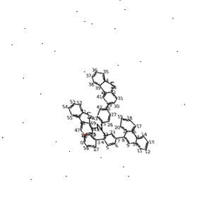 c1ccc(-c2ccc(-c3cc4ccccc4c4ccccc34)cc2N(c2ccc(-c3ccc4sc5ccccc5c4c3)cc2)c2cccc3c2sc2ccccc23)cc1